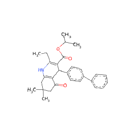 CCC1=C(C(=O)OC(C)C)C(c2ccc(-c3ccccc3)cc2)C2=C(CC(C)(C)CC2=O)N1